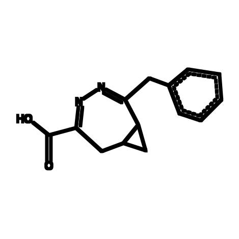 O=C(O)C1=NN=C(Cc2ccccc2)C2CC2C1